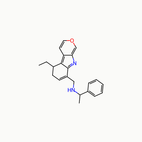 CCC1CC=C(CNC(C)c2ccccc2)c2nc3coccc-3c21